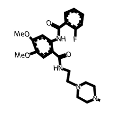 COc1cc(NC(=O)c2ccccc2F)c(C(=O)NCCN2CCN(C)CC2)cc1OC